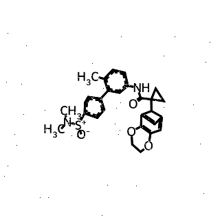 Cc1ccc(NC(=O)C2(C3C4=CC5=C(OCCO5)C3=C4)CC2)cc1-c1ccc([S+]([O-])N(C)C)cc1